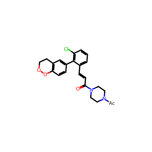 CC(=O)N1CCN(C(=O)/C=C/c2cc[c]c(Cl)c2-c2ccc3c(c2)CCOO3)CC1